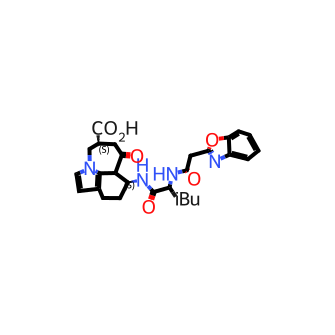 CCC(C)C(NC(=O)Cc1nc2ccccc2o1)C(=O)N[C@H]1CCc2ccn3c2C1C(=O)C[C@H](C(=O)O)C3